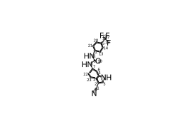 N#Cc1c[nH]c2cc(NC(=O)Nc3ccc(C(F)(F)F)cc3)ccc12